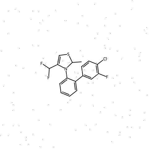 CC1SC=C(C(F)F)N1c1ccccc1-c1ccc(Cl)c(F)c1